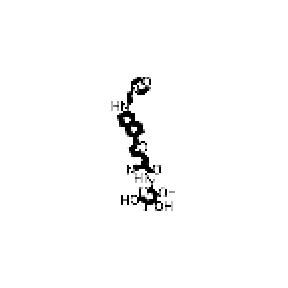 C[C@H]1C(O)O[C@H](CNC(=O)/C(C#N)=C/c2ccc(-c3ccc4cc(NCCN5CCOCC5)ccc4c3)o2)[C@@H](O)[C@@H]1O